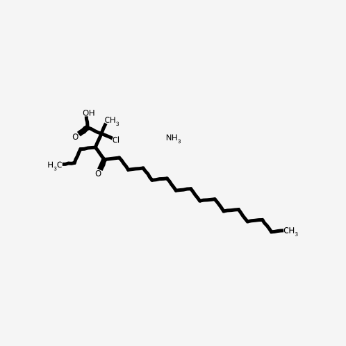 CCCCCCCCCCCCCCCC(=O)C(CCC)C(C)(Cl)C(=O)O.N